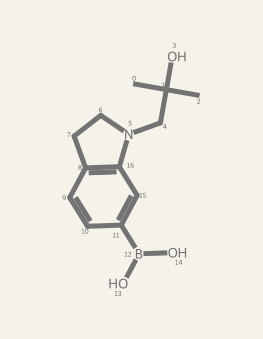 CC(C)(O)CN1CCc2ccc(B(O)O)cc21